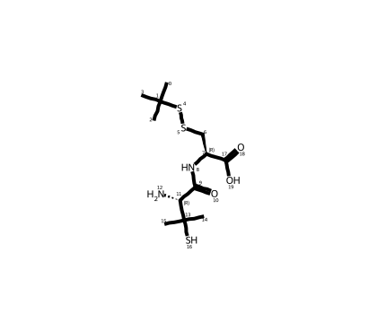 CC(C)(C)SSC[C@H](NC(=O)[C@@H](N)C(C)(C)S)C(=O)O